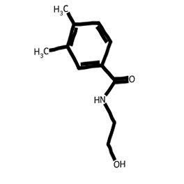 Cc1ccc(C(=O)NCCO)cc1C